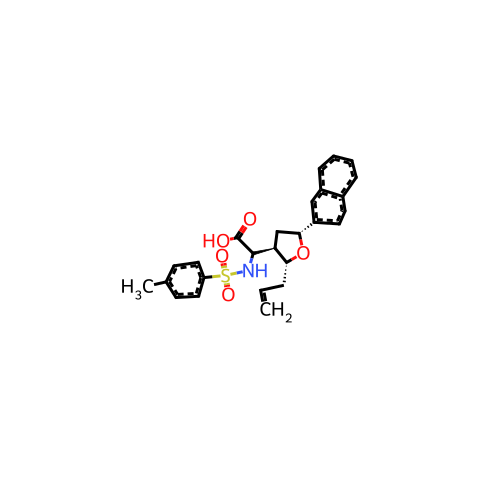 C=CC[C@H]1O[C@@H](c2ccc3ccccc3c2)C[C@@H]1C(NS(=O)(=O)c1ccc(C)cc1)C(=O)O